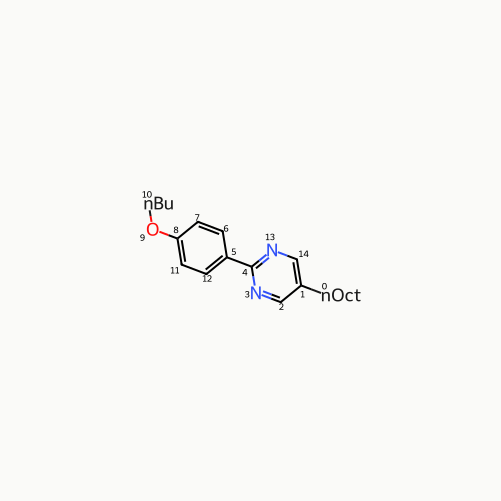 CCCCCCCCc1cnc(-c2ccc(OCCCC)cc2)nc1